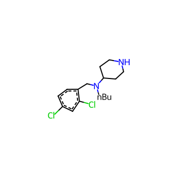 CCCCN(Cc1ccc(Cl)cc1Cl)C1CCNCC1